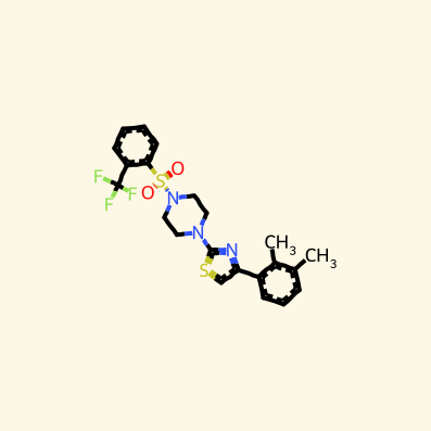 Cc1cccc(-c2csc(N3CCN(S(=O)(=O)c4ccccc4C(F)(F)F)CC3)n2)c1C